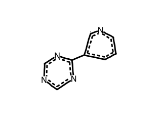 [c]1ncccc1-c1ncncn1